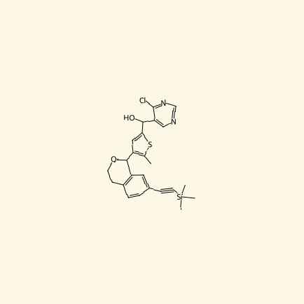 Cc1sc(C(O)c2cncnc2Cl)cc1C1OCCc2ccc(C#C[Si](C)(C)C)cc21